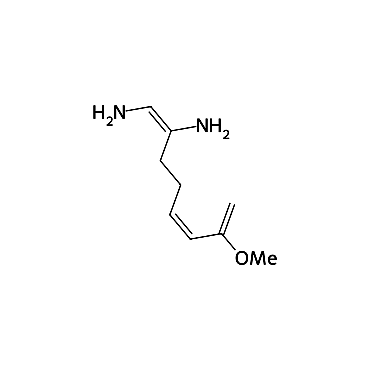 C=C(/C=C\CC/C(N)=C\N)OC